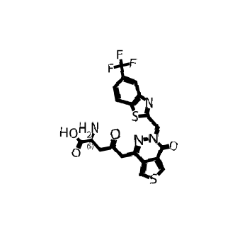 N[C@@H](CC(=O)Cc1nn(Cc2nc3cc(C(F)(F)F)ccc3s2)c(=O)c2cscc12)C(=O)O